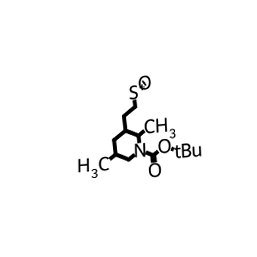 CC1CC(CC[S+]=O)C(C)N(C(=O)OC(C)(C)C)C1